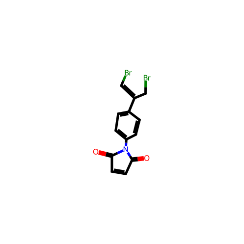 O=C1C=CC(=O)N1c1ccc(C(=CBr)CBr)cc1